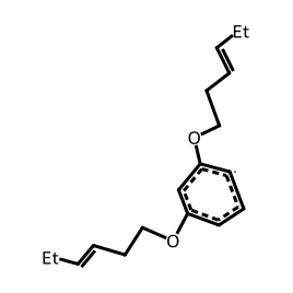 CC/C=C/CCOc1[c]ccc(OCC/C=C/CC)c1